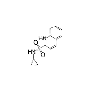 O=S(=O)(NC1CC1)C1C=Cc2ccccc2N1